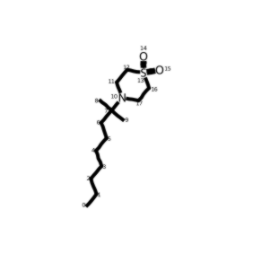 CCCCCCCC(C)(C)N1CCS(=O)(=O)CC1